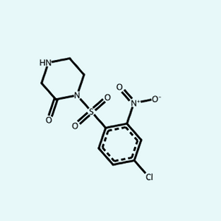 O=C1CNCCN1S(=O)(=O)c1ccc(Cl)cc1[N+](=O)[O-]